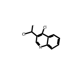 [CH2]C(Cl)c1cnc2ccccc2c1Cl